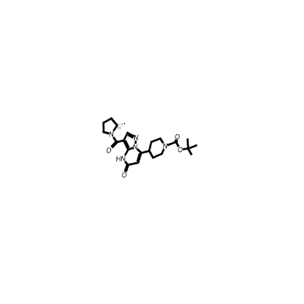 C[C@H]1CCCN1C(=O)c1cnn2c(C3CCN(C(=O)OC(C)(C)C)CC3)cc(=O)[nH]c12